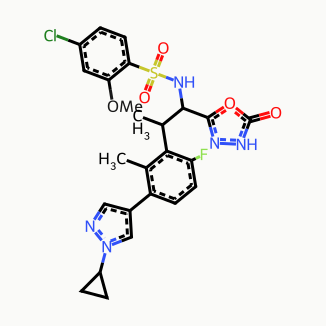 COc1cc(Cl)ccc1S(=O)(=O)NC(c1n[nH]c(=O)o1)C(C)c1c(F)ccc(-c2cnn(C3CC3)c2)c1C